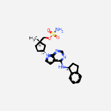 C[C@]1(COS(N)(=O)=O)CC[C@@H](n2ccc3c(N[C@H]4CCc5ccccc54)ncnc32)C1